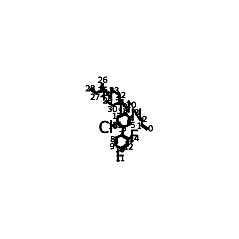 C=C/C=N\c1cc(-c2ccc(F)cc2F)c(Cl)cc1N(C)C1CCN(C(=C)C=C)CC1